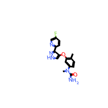 Cc1ccc(N(C)C(N)=O)cc1Oc1c[nH]nc1-c1ccc(F)cn1